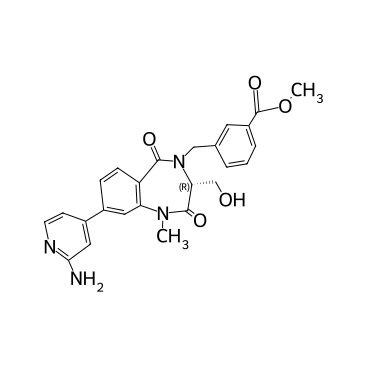 COC(=O)c1cccc(CN2C(=O)c3ccc(-c4ccnc(N)c4)cc3N(C)C(=O)[C@H]2CO)c1